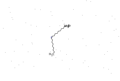 CCCCCCCC/C=C\CCCCCCC[CH2][Mg][Br]